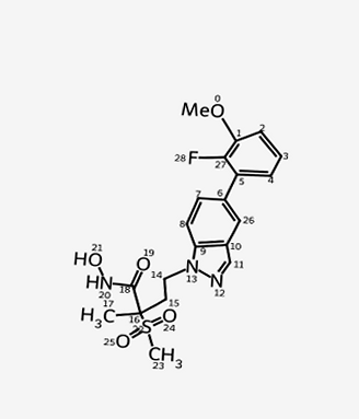 COc1cccc(-c2ccc3c(cnn3CCC(C)(C(=O)NO)S(C)(=O)=O)c2)c1F